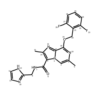 Cc1cn2c(C(=O)NCc3ncc[nH]3)c(C)nc2c(OCc2c(F)cccc2F)n1